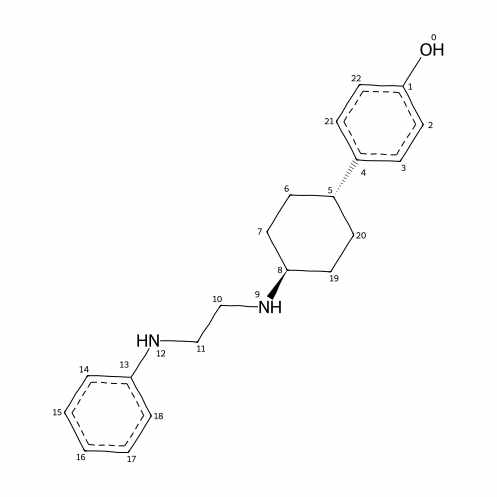 Oc1ccc([C@H]2CC[C@H](NCCNc3ccccc3)CC2)cc1